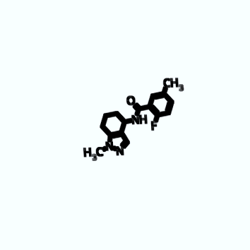 Cc1ccc(F)c(C(=O)NC2CCCc3c2cnn3C)c1